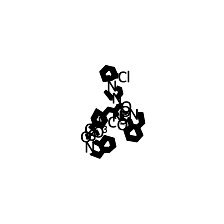 CN(C(Cc1ccc(OS(=O)(=O)c2nccc3ccccc23)cc1)C(=O)N1CCN(c2ccccc2Cl)CC1)S(=O)(=O)c1nccc2ccccc12